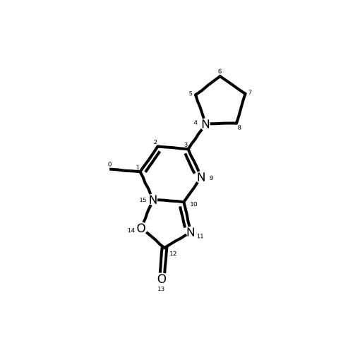 Cc1cc(N2CCCC2)nc2nc(=O)on12